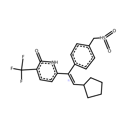 O=c1[nH]c(/C(=C/C2CCCC2)c2ccc(C[SH](=O)=O)cc2)ccc1C(F)(F)F